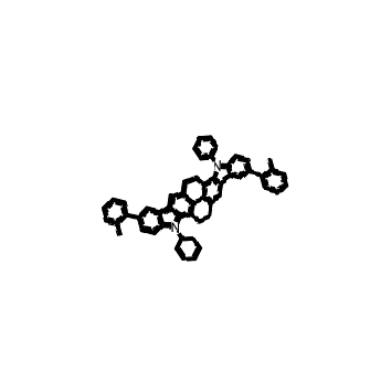 Cc1ccccc1-c1ccc2c(c1)c1cc3c4c(c1n2-c1ccccc1)CCc1cc2c5cc(-c6ccccc6C)ccc5n(C5C=CC=CC5)c2c(c1-4)CC3